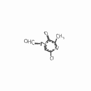 Cc1nc(Cl)cn(C=O)c1=O